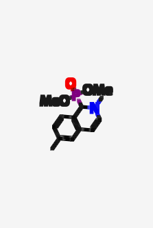 COP(=O)(OC)C1c2ccc(C)cc2C=CN1C